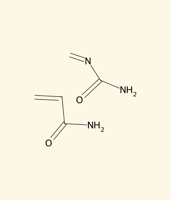 C=CC(N)=O.C=NC(N)=O